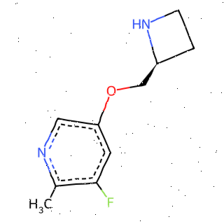 Cc1ncc(OC[C@@H]2CCN2)cc1F